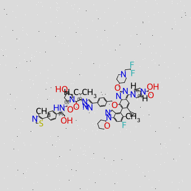 Cc1ncsc1-c1ccc([C@H](CO)NC(=O)[C@@H]2C[C@@H](O)CN2C(=O)[C@H](C(C)C)n2cc(-c3ccc(COc4c(-c5c(C)c(F)cc6c5cnn6C5CCCCO5)c(C5CC5)cc5c(N6C[C@@H]7C[C@H]6CN7C(=O)O)nc(OC6CCN(CC(F)F)CC6)nc45)cc3)nn2)cc1